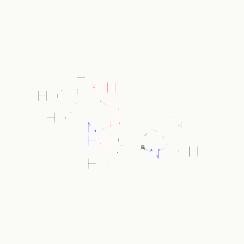 Cc1nc(CC(C)(C)OC(=O)NC(C(=O)O)C(C)(C)C)ccc1Br